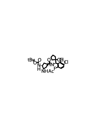 CC(=O)N[C@H]1CC(C(=O)N[C@H](c2c(F)ccc(Cl)c2Cl)C2(C)CCCC2)C[C@H]1NC(=O)OC(C)(C)C